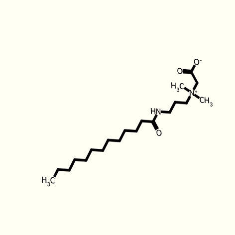 CCCCCCCCCCCCC(=O)NCCC[N+](C)(C)CC(=O)[O-]